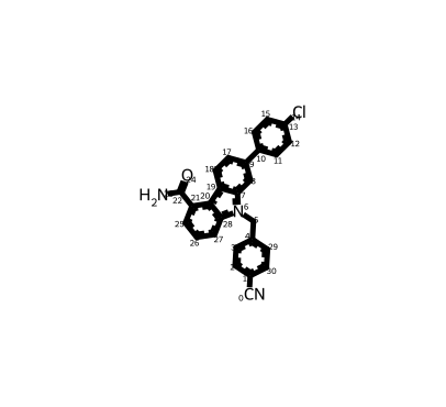 N#Cc1ccc(Cn2c3cc(-c4ccc(Cl)cc4)c[c]c3c3c(C(N)=O)cccc32)cc1